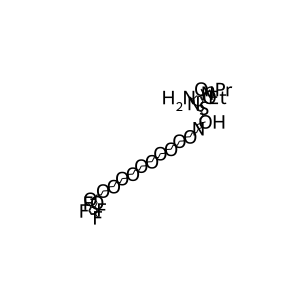 CCCN(OCC)C(=O)C1=Cc2sc(CCC3(O)CN(CCOCCOCCOCCOCCOCCOCCOCCOCCOCCOCCC(=O)Oc4c(F)c(F)cc(F)c4F)C3)cc2N=C(N)C1